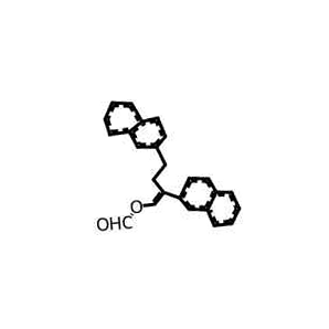 O=CO/C=C(\CCc1ccc2ccccc2c1)c1ccc2ccccc2c1